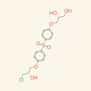 O=S(=O)(c1ccc(OC[C@H](O)CO)cc1)c1ccc(OC[C@H](O)CCl)cc1